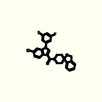 O=C(c1cn(-c2cc(F)cc(F)c2)c2cc(Cl)ccc12)N1CCC2(CC1)OCc1ccccc12